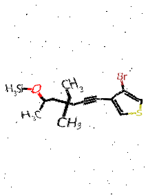 CC(O[SiH3])C(C)(C)C#Cc1cscc1Br